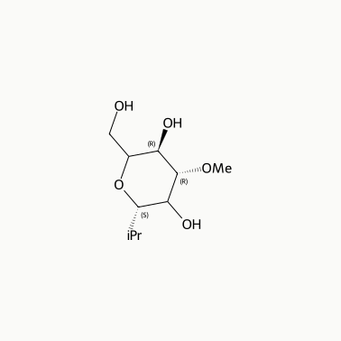 CO[C@@H]1C(O)[C@H](C(C)C)OC(CO)[C@H]1O